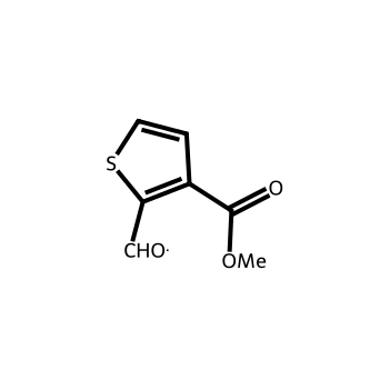 COC(=O)c1ccsc1[C]=O